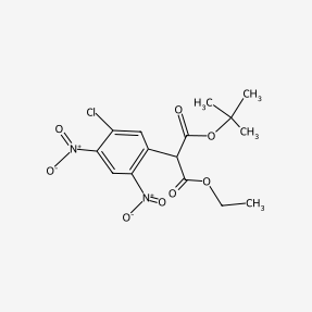 CCOC(=O)C(C(=O)OC(C)(C)C)c1cc(Cl)c([N+](=O)[O-])cc1[N+](=O)[O-]